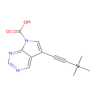 C[Si](C)(C)C#Cc1cn(C(=O)O)c2ncncc12